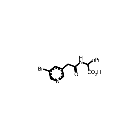 CCCC(NC(=O)Cc1cncc(Br)c1)C(=O)O